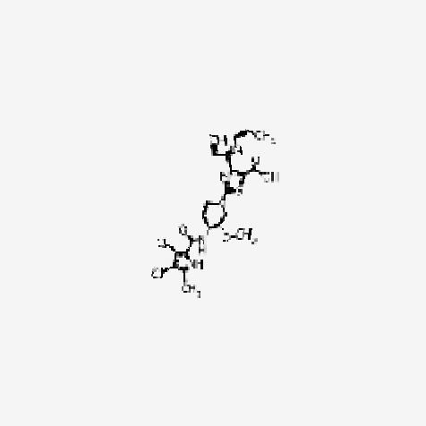 C=C/C(=N\C=C/C)c1nc(N2CC[C@@H](NC(=O)c3[nH]c(C)c(Cl)c3Cl)[C@@H](OC)C2)sc1C(=O)O